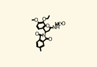 CCOc1cc(C(CC(=O)NN=C=O)N2C(=O)c3ccc(C)cc3C2=O)ccc1OC